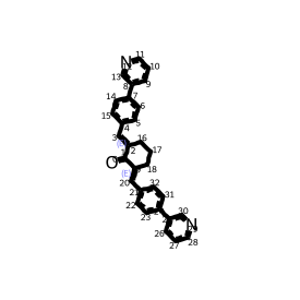 O=C1/C(=C/c2ccc(-c3cccnc3)cc2)CCC/C1=C\c1ccc(-c2cccnc2)cc1